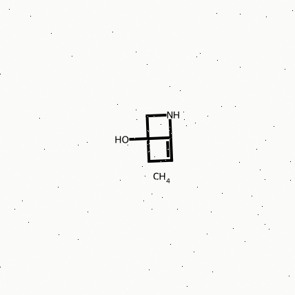 C.OC12CC=C1NC2